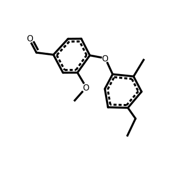 CCc1ccc(Oc2ccc(C=O)cc2OC)c(C)c1